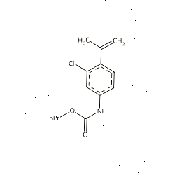 C=C(C)c1ccc(NC(=O)OCCC)cc1Cl